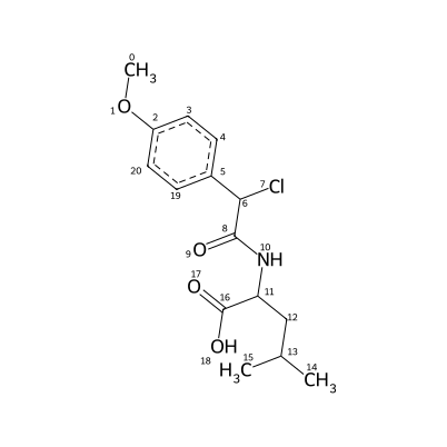 COc1ccc(C(Cl)C(=O)NC(CC(C)C)C(=O)O)cc1